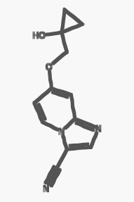 N#Cc1cnc2cc(OCC3(O)CC3)ccn12